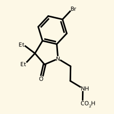 CCC1(CC)C(=O)N(CCNC(=O)O)c2cc(Br)ccc21